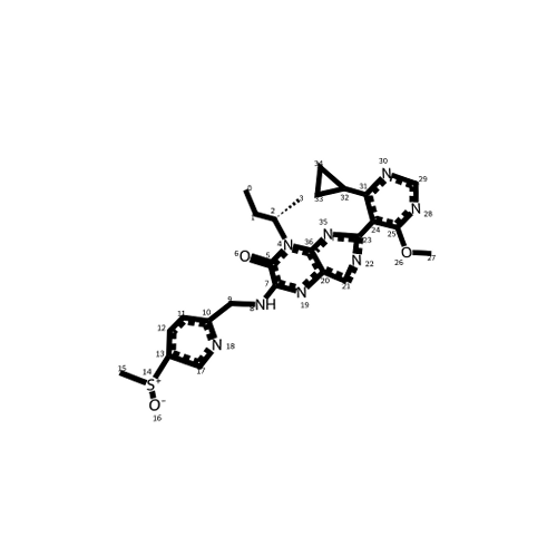 CC[C@H](C)n1c(=O)c(NCc2ccc([S+](C)[O-])cn2)nc2cnc(-c3c(OC)ncnc3C3CC3)nc21